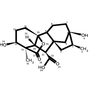 C[C@H]1C[C@]23C[C@]1(O)CCC2[C@]12CC[C@H](O)[C@](C)(C(=O)O1)[C@H]2[C@@H]3C(=O)O